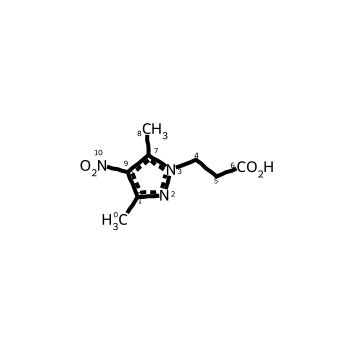 Cc1nn(CCC(=O)O)c(C)c1[N+](=O)[O-]